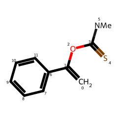 C=C(OC(=S)NC)c1ccccc1